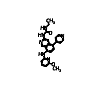 CCNC(=O)Nc1cc2c(-c3ccncc3)ccc(Nc3cccc(OC)n3)c2cn1